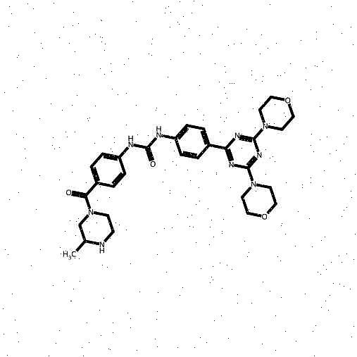 CC1CN(C(=O)c2ccc(NC(=O)Nc3ccc(-c4nc(N5CCOCC5)nc(N5CCOCC5)n4)cc3)cc2)CCN1